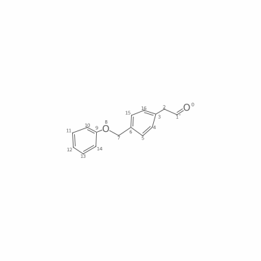 O=[C]Cc1ccc(COc2ccccc2)cc1